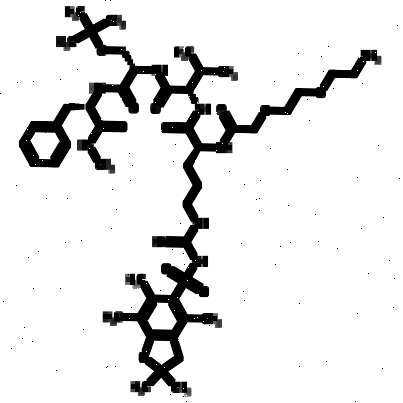 CNC(=O)[C@H](Cc1ccccc1)NC(=O)[C@H](COC(C)(C)C)NC(=O)[C@@H](NC(=O)[C@H](CCCNC(=N)NS(=O)(=O)c1c(C)c(C)c2c(c1C)CC(C)(C)O2)NC(=O)COCCOCCN)C(C)C